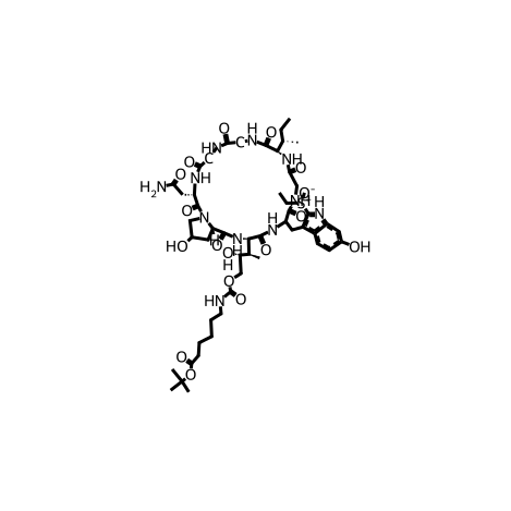 CC[C@H](C)[C@@H]1NC(=O)CNC(=O)C(Cc2c([S+]([O-])CC)[nH]c3cc(O)ccc23)NC(=O)[C@H]([C@@H](C)[C@@H](O)COC(=O)NCCCCCC(=O)OC(C)(C)C)NC(=O)[C@@H]2CC(O)CN2C(=O)[C@H](CC(N)=O)NC(=O)CNC(=O)CNC1=O